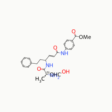 COC(=O)c1ccc(NC(=O)C=CC(CCc2ccccc2)NC(=O)[C@H](C)N)cc1.O=CO